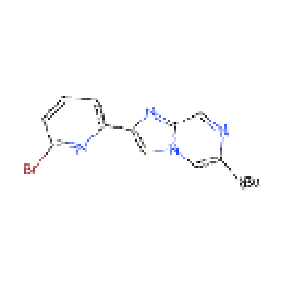 CC(C)(C)c1cn2cc(-c3cccc(Br)n3)nc2cn1